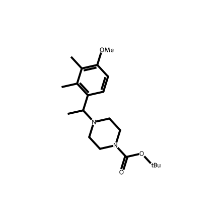 COc1ccc(C(C)N2CCN(C(=O)OC(C)(C)C)CC2)c(C)c1C